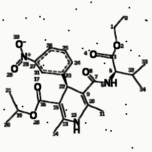 CCOC(=O)[C@H](NC(=O)C1=C(C)NC(C)=C(C(=O)OC(C)C)[C@H]1c1cccc([N+](=O)[O-])c1)C(C)C